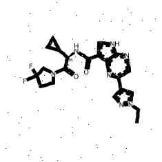 CCn1cc(-c2cnc3[nH]cc(C(=O)N[C@@H](C(=O)N4CCC(F)(F)C4)C4CC4)c3n2)cn1